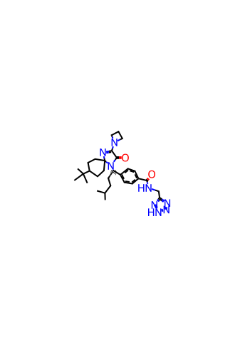 CC(C)CC[C@H](c1ccc(C(=O)NCc2nn[nH]n2)cc1)N1C(=O)C(N2CCC2)=NC12CCC(C(C)(C)C)CC2